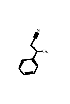 CC(CC#N)c1ccccc1